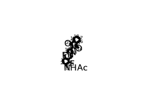 CC(=O)Nc1ccc(F)c(Cn2ccc(N3C(=O)c4ccccc4C3=O)n2)c1F